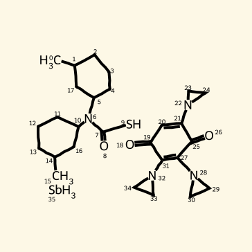 CC1CCCC(N(C(=O)S)C2CCCC(C)C2)C1.O=C1C=C(N2CC2)C(=O)C(N2CC2)=C1N1CC1.[SbH3]